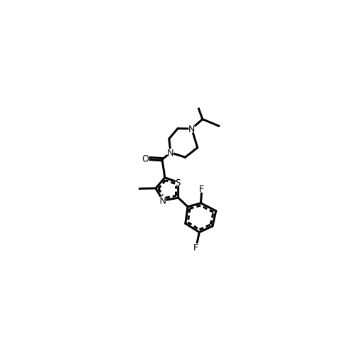 Cc1nc(-c2cc(F)ccc2F)sc1C(=O)N1CCN(C(C)C)CC1